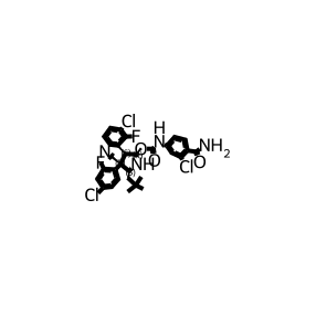 CC(C)(C)C[C@@H]1N[C@H](OC(=O)Nc2ccc(C(N)=O)c(Cl)c2)[C@H](c2cccc(Cl)c2F)[C@@]1(C#N)c1ccc(Cl)cc1F